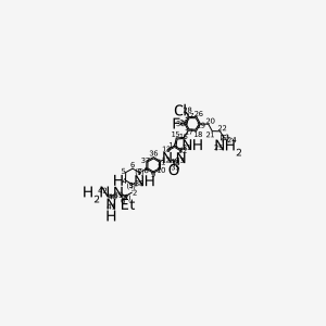 CC[C@H](C[C@@H]1CCC[C@@H](c2ccc(-n3cc4cc(-c5cc(CCC[C@H](C)N)cc(Cl)c5F)[nH]c4nc3=O)cc2)N1)NC(=N)N